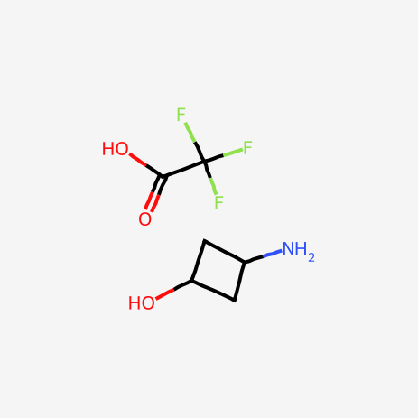 NC1CC(O)C1.O=C(O)C(F)(F)F